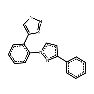 C1=C(c2ccccc2-n2ccc(-c3ccccc3)n2)N=N[N]1